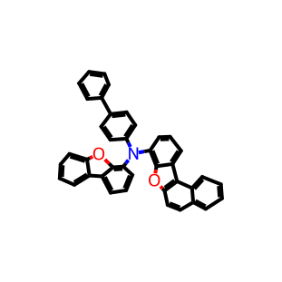 c1ccc(-c2ccc(N(c3cccc4c3oc3ccccc34)c3cccc4c3oc3ccc5ccccc5c34)cc2)cc1